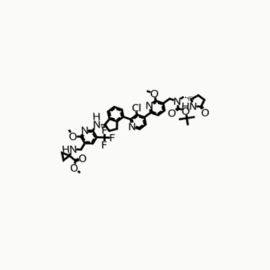 COC(=O)C1(NCc2cc(C(F)(F)F)c(N[C@H]3CCc4c(-c5nccc(-c6ccc(CN(C[C@@H]7CCC(=O)N7)C(=O)OC(C)(C)C)c(OC)n6)c5Cl)cccc43)nc2OC)CC1